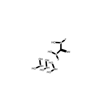 N=C(N(O)F)N(O)F.OBO.OBO.OBO